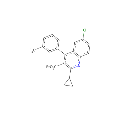 CCOC(=O)c1c(C2CC2)nc2ccc(Cl)cc2c1-c1cccc(C(F)(F)F)c1